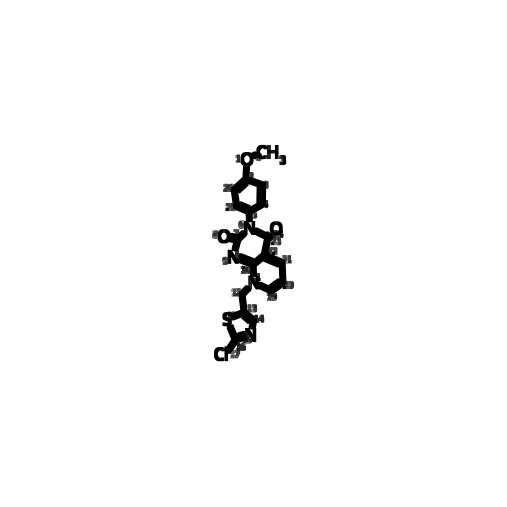 COc1ccc(-n2c(=O)nc3n(Cc4cnc(Cl)s4)cccc-3c2=O)cc1